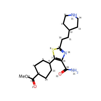 COC(=O)C1CCC(c2sc(CCC3CCNCC3)nc2C(N)=O)CC1